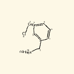 CCCCCCCc1ccccc1.O=CCl